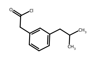 CC(C)Cc1cccc(CC(=O)Cl)c1